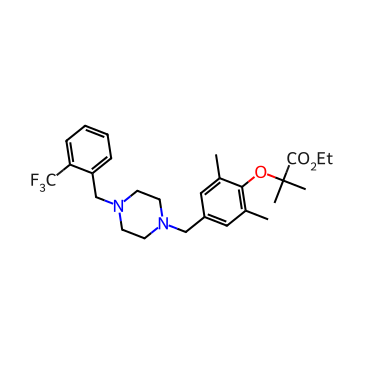 CCOC(=O)C(C)(C)Oc1c(C)cc(CN2CCN(Cc3ccccc3C(F)(F)F)CC2)cc1C